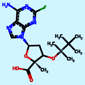 CC(C)(C)[Si](C)(C)OC1C[C@H](n2cnc3c(N)nc(F)nc32)O[C@]1(C)C(=O)O